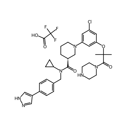 CC(C)(Oc1cc(Cl)cc(N2CCC[C@H](C(=O)N(Cc3ccc(-c4cn[nH]c4)cc3)C3CC3)C2)c1)C(=O)N1CCNCC1.O=C(O)C(F)(F)F